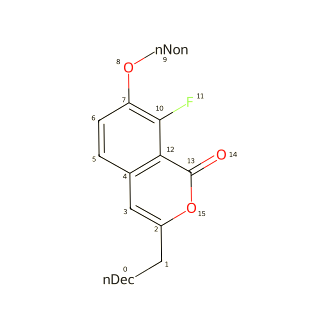 CCCCCCCCCCCc1cc2ccc(OCCCCCCCCC)c(F)c2c(=O)o1